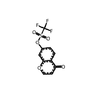 O=c1ccoc2cc(OS(=O)(=O)C(F)(F)F)ccc12